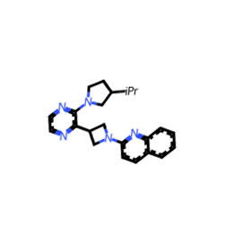 CC(C)C1CCN(c2nccnc2C2CN(c3ccc4ccccc4n3)C2)C1